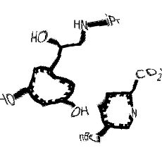 CC(C)NCC(O)c1cc(O)cc(O)c1.CCCCc1ccc(C(=O)O)nc1